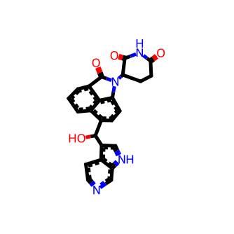 O=C1CCC(N2C(=O)c3cccc4c(C(O)c5c[nH]c6cnccc56)ccc2c34)C(=O)N1